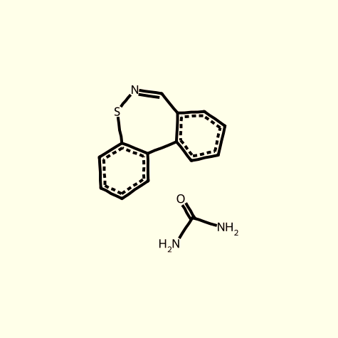 C1=NSc2ccccc2-c2ccccc21.NC(N)=O